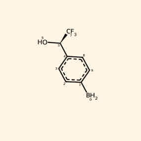 Bc1ccc([C@@H](O)C(F)(F)F)cc1